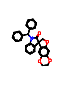 O=C1N(C(c2ccccc2)c2ccccc2)c2ccccc2C12COc1cc3c(cc12)OCCO3